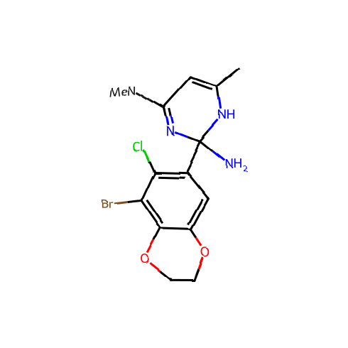 CNC1=NC(N)(c2cc3c(c(Br)c2Cl)OCCO3)NC(C)=C1